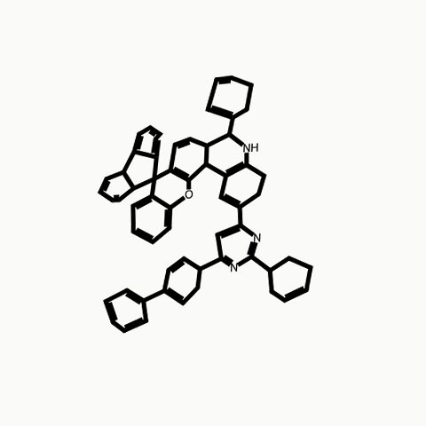 C1=CCCC(C2NC3=C(C=C(c4cc(C5C=CC(c6ccccc6)=CC5)nc(C5CC=CCC5)n4)CC3)C3C4=C(C=CC23)C2(c3ccccc3O4)c3ccccc3C3C=CC=CC32)=C1